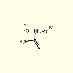 NC(N)=O.[K+].[Na+].[OH-].[OH-]